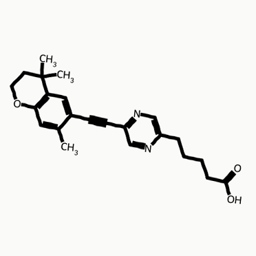 Cc1cc2c(cc1C#Cc1cnc(CCCCC(=O)O)cn1)C(C)(C)CCO2